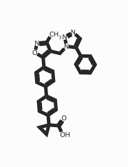 Cc1noc(-c2ccc(-c3ccc(C4(C(=O)O)CC4)cc3)cc2)c1Cn1nncc1-c1ccccc1